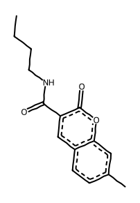 CCCCNC(=O)c1cc2ccc(C)cc2oc1=O